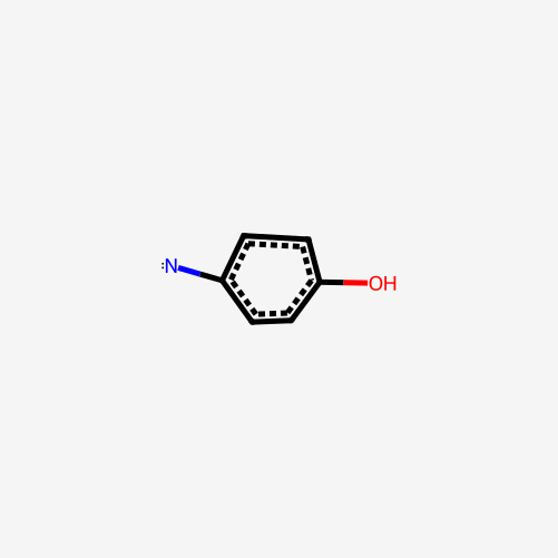 [N]c1ccc(O)cc1